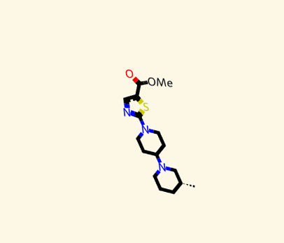 COC(=O)c1cnc(N2CCC(N3CCC[C@@H](C)C3)CC2)s1